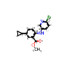 COC(=O)c1cc(C2CC2)ccc1Nc1ccc(Br)nc1